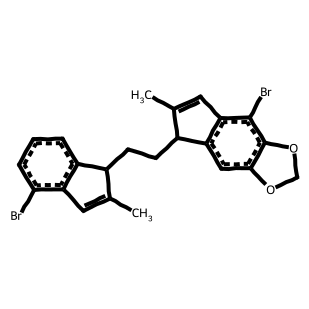 CC1=Cc2c(Br)cccc2C1CCC1C(C)=Cc2c1cc1c(c2Br)OCO1